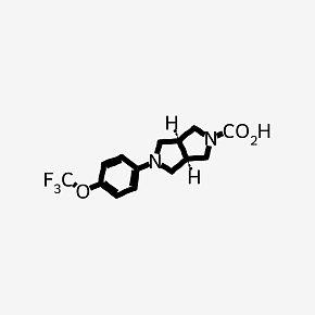 O=C(O)N1C[C@@H]2CN(c3ccc(OC(F)(F)F)cc3)C[C@@H]2C1